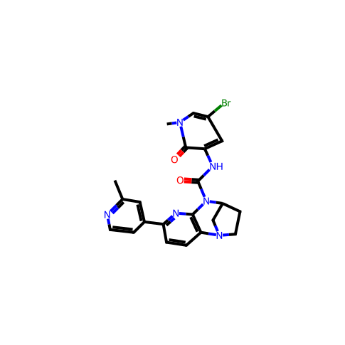 Cc1cc(-c2ccc3c(n2)N(C(=O)Nc2cc(Br)cn(C)c2=O)C2CCN3C2)ccn1